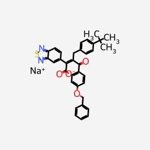 CC(C)(C)c1ccc(CC(C(=O)c2ccc(OCc3ccccc3)cc2)=C(C(=O)[O-])c2ccc3nsnc3c2)cc1.[Na+]